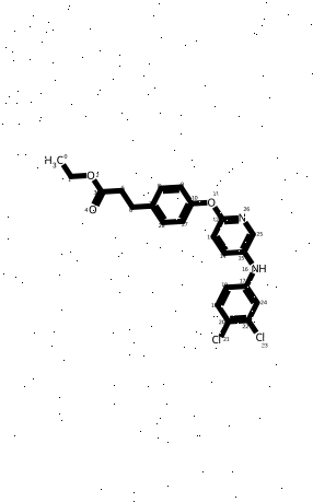 CCOC(=O)CCc1ccc(Oc2ccc(Nc3ccc(Cl)c(Cl)c3)cn2)cc1